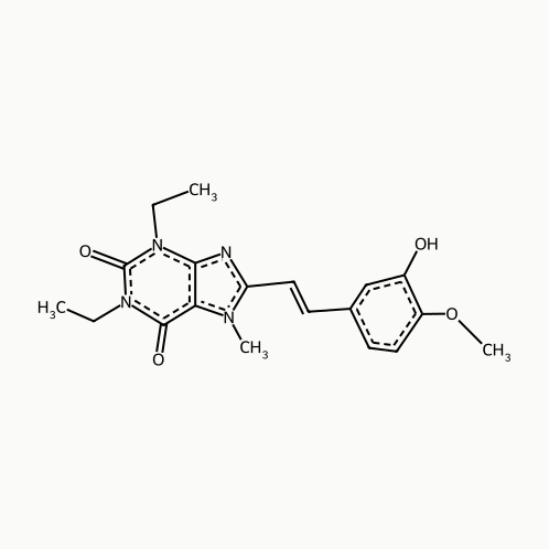 CCn1c(=O)c2c(nc(C=Cc3ccc(OC)c(O)c3)n2C)n(CC)c1=O